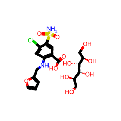 NS(=O)(=O)c1cc(C(=O)O)c(NCc2ccco2)cc1Cl.OC[C@@H](O)[C@@H](O)[C@H](O)[C@H](O)CO